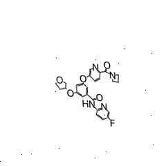 O=C(Nc1ccc(F)cn1)c1cc(Oc2ccc(C(=O)N3CCC3)nc2)cc(O[C@H]2CCOC2)c1